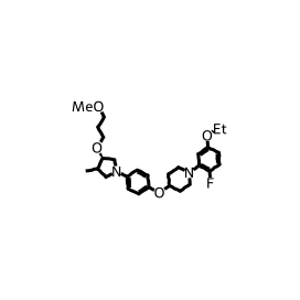 CCOc1ccc(F)c(N2CCC(Oc3ccc(N4CC(C)[C@@H](OCCCOC)C4)cc3)CC2)c1